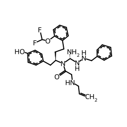 C=CCNCC(=O)N([C@H](CCc1ccccc1OC(F)F)Cc1ccc(O)cc1)[C@H](N)NNCc1ccccc1